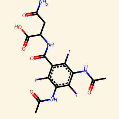 CC(=O)Nc1c(I)c(NC(C)=O)c(I)c(C(=O)NC(CC(N)=O)C(=O)O)c1I